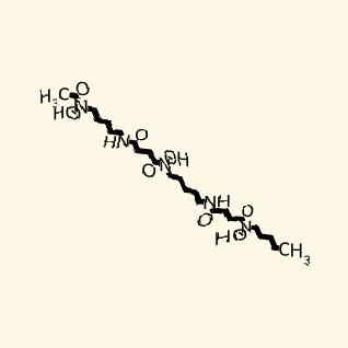 CCCCCN(O)C(=O)CCC(=O)NCCCCCN(O)C(=O)CCC(=O)NCCCCCN(O)C(C)=O